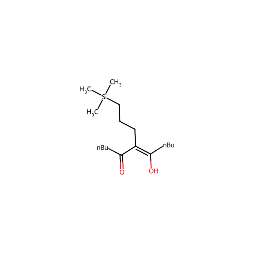 CCCCC(=O)/C(CCC[Si](C)(C)C)=C(\O)CCCC